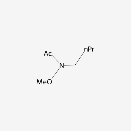 CCCCN(OC)C(C)=O